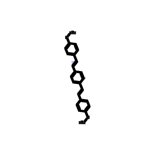 CCCCOc1ccc(C=Cc2[c]cc(/C=C/c3ccc(OCCCC)cc3)cc2)cc1